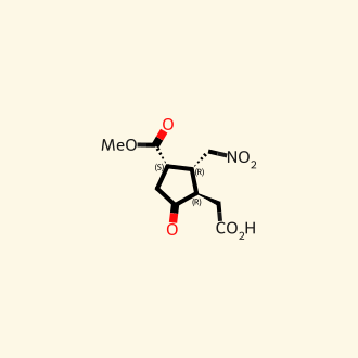 COC(=O)[C@H]1CC(=O)[C@H](CC(=O)O)[C@H]1C[N+](=O)[O-]